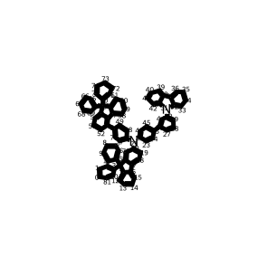 c1ccc(C2(c3ccccc3)c3ccccc3-c3ccc(N(c4ccc(-c5cccc(-n6c7ccccc7c7ccccc76)c5)cc4)c4ccc(-c5cccc6c5-c5ccccc5C6(c5ccccc5)c5ccccc5)cc4)cc32)cc1